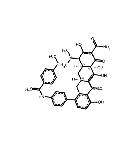 C=C(Nc1ccc(-c2ccc(O)c3c2C[C@H]2C[C@H]4C(N(C)C)C(O)=C(C(N)=O)C(=O)[C@@]4(O)C(O)=C2C3=O)cc1)c1ccc(OC)cc1